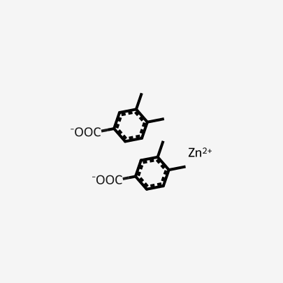 Cc1ccc(C(=O)[O-])cc1C.Cc1ccc(C(=O)[O-])cc1C.[Zn+2]